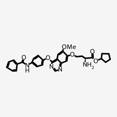 COc1cc2c(Oc3ccc(NC(=O)c4ccccc4)cc3)ncnc2cc1OCC[C@H](N)C(=O)OC1CCCC1